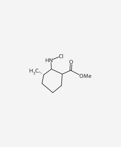 COC(=O)C1CCC[C@H](C)C1NCl